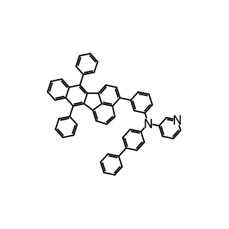 c1ccc(-c2ccc(N(c3cccnc3)c3cccc(-c4ccc5c6c(cccc46)-c4c-5c(-c5ccccc5)c5ccccc5c4-c4ccccc4)c3)cc2)cc1